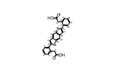 O=C(O)Cc1ccccc1-c1cc2cc3sc(-c4ccccc4CC(=O)O)cc3cc2s1